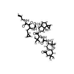 C=CCNC(=O)C(=O)C(CC1CC1)NC(=O)[C@@H]1[C@H]2CCC3(CC3)[C@H]2CN1C(=O)[C@@H](NC(=O)N[C@H](CN1C(=O)CC(C)(C)CC1=O)C(C)(C)C)C(C)(C)C